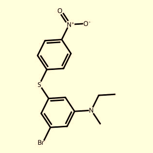 CCN(C)c1cc(Br)cc(Sc2ccc([N+](=O)[O-])cc2)c1